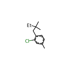 CCC(C)(C)Cc1ccc(C)cc1Cl